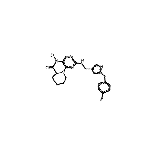 CCN1C(=O)C2CCCCN2c2nc(NCc3cnn(Cc4ccc(F)cc4)c3)ncc21